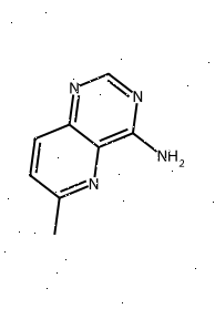 Cc1ccc2ncnc(N)c2n1